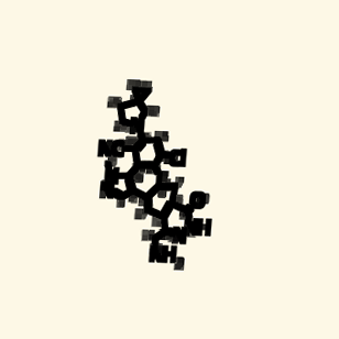 Cn1ncc(-c2ccc3c(=O)[nH]nc(CN)c3c2)c1-c1c(F)c(Cl)cc(N2CCC3(CC3)C2)c1C#N